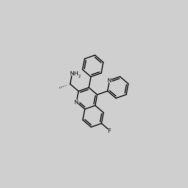 C[C@H](N)c1nc2ccc(F)cc2c(-c2ccccn2)c1-c1ccccc1